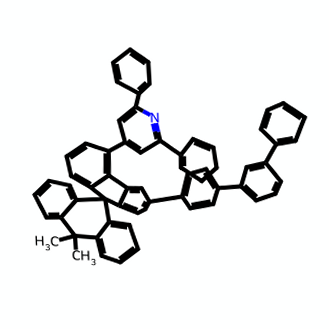 CC1(C)c2ccccc2C2(c3ccc(-c4ccc(-c5cccc(-c6ccccc6)c5)cc4)cc3-c3c(-c4cc(C5=CCCC=C5)nc(-c5ccccc5)c4)cccc32)c2ccccc21